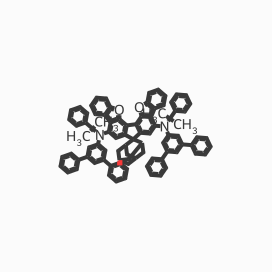 CC(C)(c1ccccc1)N(c1cc(-c2ccccc2)cc(-c2ccccc2)c1)c1cc2c(c3oc4ccccc4c13)-c1c(cc(N(c3cc(-c4ccccc4)cc(-c4ccccc4)c3)C(C)(C)c3ccccc3)c3c1oc1ccccc13)C21C2CC3CC(C2)CC1C3